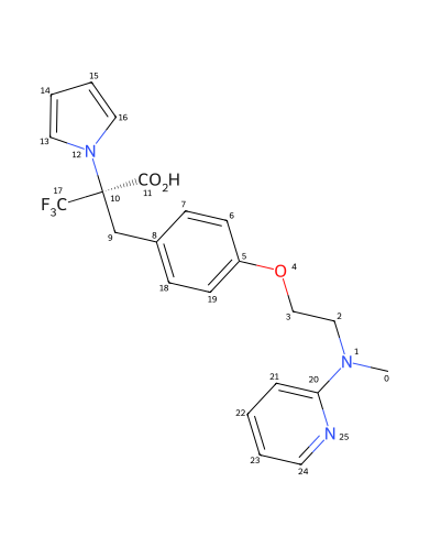 CN(CCOc1ccc(C[C@](C(=O)O)(n2cccc2)C(F)(F)F)cc1)c1ccccn1